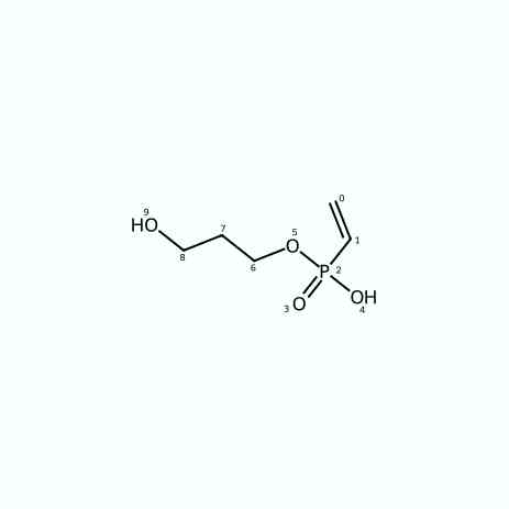 C=CP(=O)(O)OCCCO